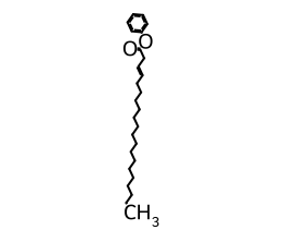 CCCCCCCCCCCCCCCCC=CCC(=O)Oc1ccccc1